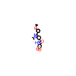 CC(C)n1nc(-c2cccc(OC3CC3)c2)c2c1C[C@H](C(=O)NC1(C)CCS(=O)(=O)CC1)CC2